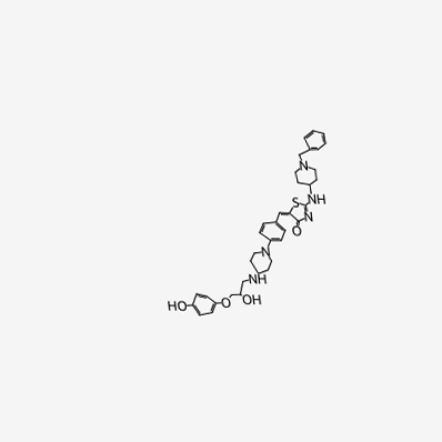 O=C1N=C(NC2CCN(Cc3ccccc3)CC2)S/C1=C/c1ccc(N2CCC(NCC(O)COc3ccc(O)cc3)CC2)cc1